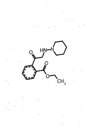 CCOC(=O)c1ccccc1C(=O)CNN1CCCCC1